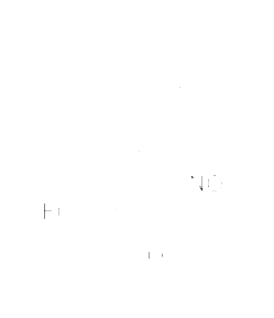 C=C(C)C(C)(N=O)C(=O)CC